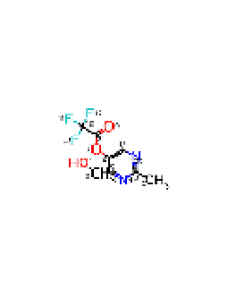 CO.Cc1ncc(OC(=O)C(F)(F)F)cn1